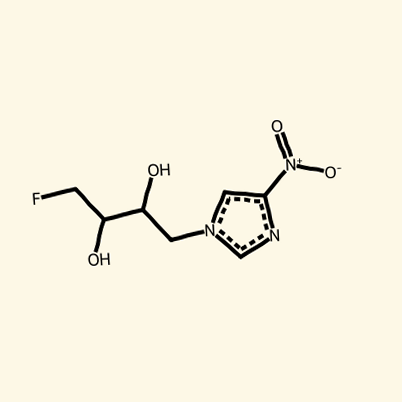 O=[N+]([O-])c1cn(CC(O)C(O)CF)cn1